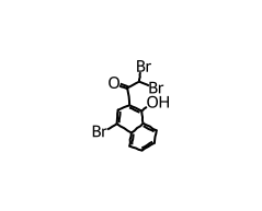 O=C(c1cc(Br)c2ccccc2c1O)C(Br)Br